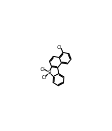 Clc1cccc2c3c(ccc12)[Si](Cl)(Cl)c1ccccc1-3